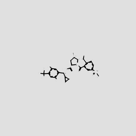 C[C@@H]1C[C@H](C(=O)N[C@@H](c2cc(F)c(C(F)(F)F)cc2F)C2CC2)N(C(=O)c2cc(S(C)(=O)=O)ccc2CO)C1